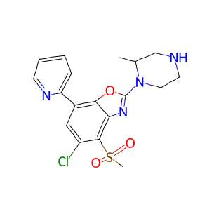 CC1CNCCN1c1nc2c(S(C)(=O)=O)c(Cl)cc(-c3ccccn3)c2o1